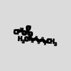 CCCCCCC(C)OC(=O)OCCl